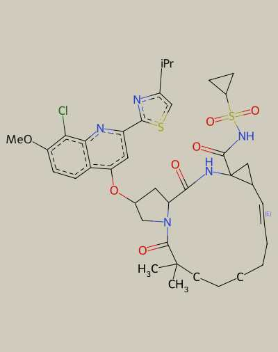 COc1ccc2c(OC3CC4C(=O)NC5(C(=O)NS(=O)(=O)C6CC6)CC5/C=C/CCCCCC(C)(C)C(=O)N4C3)cc(-c3nc(C(C)C)cs3)nc2c1Cl